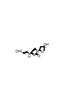 O=C/C=C/Nc1ccn([C@H]2C[C@H](O)CO2)c(=O)n1